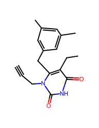 C#CCn1c(Cc2cc(C)cc(C)c2)c(CC)c(=O)[nH]c1=O